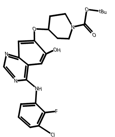 CC(C)(C)OC(=O)N1CCC(Oc2cc3ncnc(Nc4cccc(Cl)c4F)c3cc2O)CC1